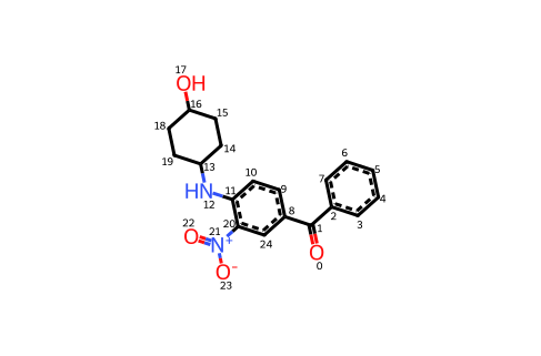 O=C(c1ccccc1)c1ccc(NC2CCC(O)CC2)c([N+](=O)[O-])c1